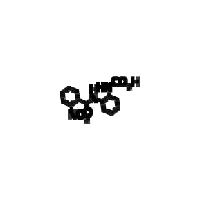 O=C(O)Nc1ccccc1NC(=O)c1ccccc1[N+](=O)[O-]